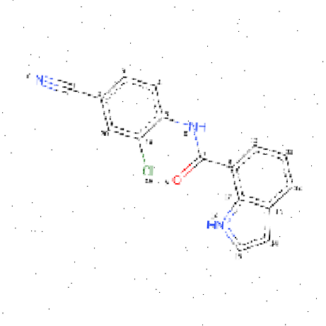 N#Cc1ccc(NC(=O)c2cccc3cc[nH]c23)c(Cl)c1